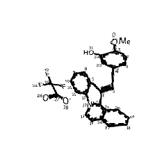 COc1ccc(C=C2c3ccccc3-[n+]3ccc4ccccc4c32)cc1O.O=C([O-])C(F)(F)F